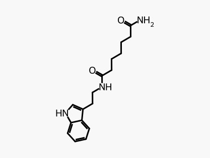 NC(=O)CCCCCC(=O)NCCc1c[nH]c2ccccc12